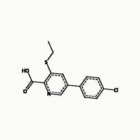 CCSc1cc(-c2ccc(Cl)cc2)cnc1C(=O)O